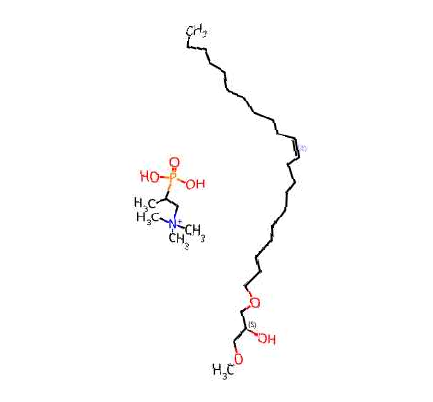 CC(C[N+](C)(C)C)P(=O)(O)O.CCCCCCCCCC/C=C\CCCCCCCCCOC[C@@H](O)COC